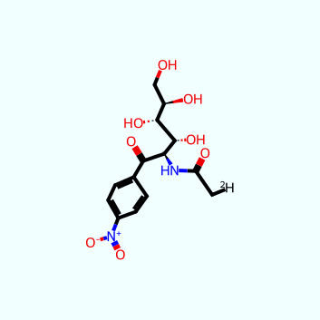 [2H]CC(=O)N[C@@H](C(=O)c1ccc([N+](=O)[O-])cc1)[C@@H](O)[C@H](O)[C@H](O)CO